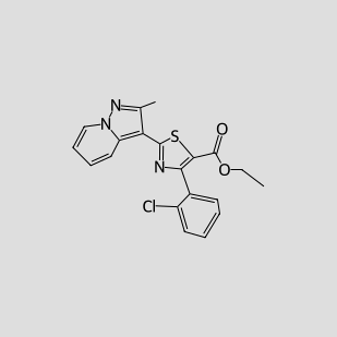 CCOC(=O)c1sc(-c2c(C)nn3ccccc23)nc1-c1ccccc1Cl